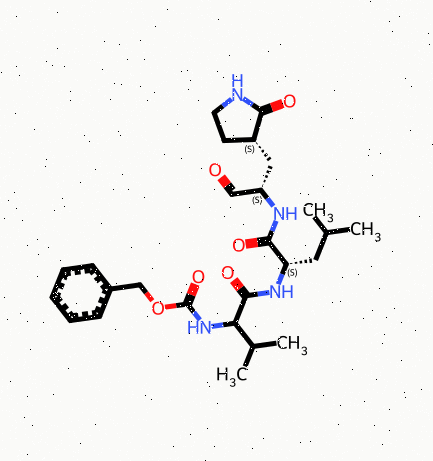 CC(C)C[C@H](NC(=O)C(NC(=O)OCc1ccccc1)C(C)C)C(=O)N[C@H](C=O)C[C@@H]1CCNC1=O